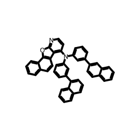 c1cc(-c2ccc3ccccc3c2)cc(N(c2cccc(-c3cccc4ccccc34)c2)c2ccnc3oc4c5ccccc5ccc4c23)c1